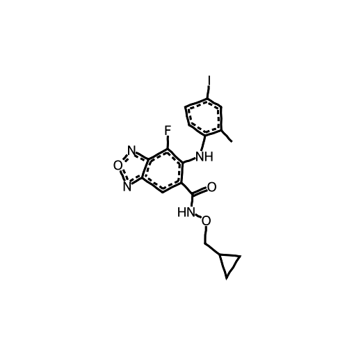 Cc1cc(I)ccc1Nc1c(C(=O)NOCC2CC2)cc2nonc2c1F